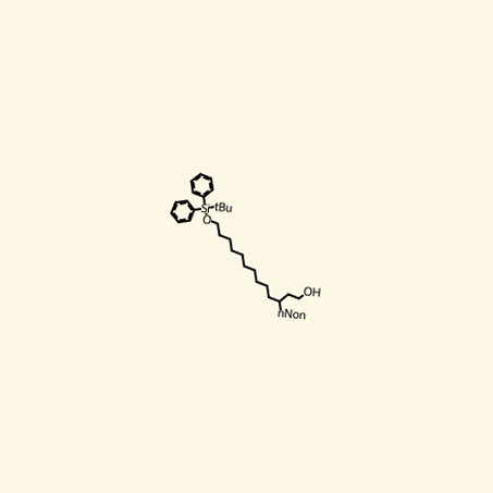 CCCCCCCCCC(CCO)CCCCCCCCCCO[Si](c1ccccc1)(c1ccccc1)C(C)(C)C